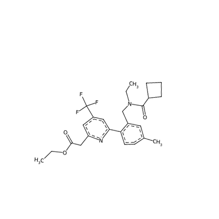 CCOC(=O)Cc1cc(C(F)(F)F)cc(-c2ccc(C)cc2CN(CC)C(=O)C2CCC2)n1